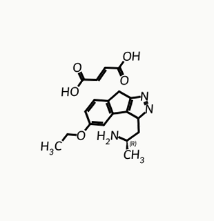 CCOc1ccc2c(c1)C1=C(C2)N=NC1C[C@@H](C)N.O=C(O)C=CC(=O)O